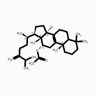 C=C(CC[C@@H](C)[C@H]1CC[C@H]2C3=C(C[C@H](OC(C)=O)[C@]12C)[C@@]1(C)CCCC(C)(C)C1CC3)C(C)C